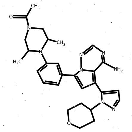 CC(=O)N1CC(C)N(c2cccc(-c3cc(-c4ccnn4C4CCOCC4)c4c(N)ncnn34)c2)C(C)C1